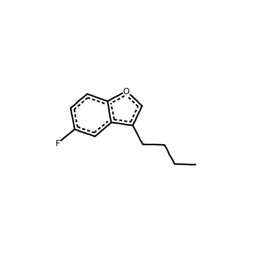 CCCCc1coc2ccc(F)cc12